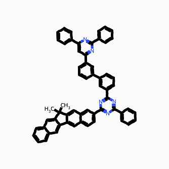 CC1(C)c2cc3ccccc3cc2-c2cc3ccc(-c4nc(-c5ccccc5)nc(-c5cccc(-c6cccc(-c7cc(-c8ccccc8)nc(-c8ccccc8)n7)c6)c5)n4)cc3cc21